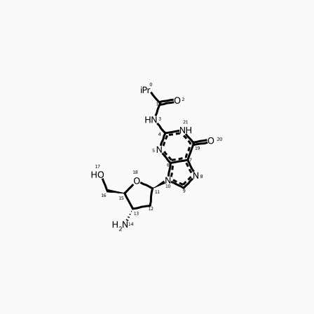 CC(C)C(=O)Nc1nc2c(ncn2[C@H]2C[C@H](N)[C@@H](CO)O2)c(=O)[nH]1